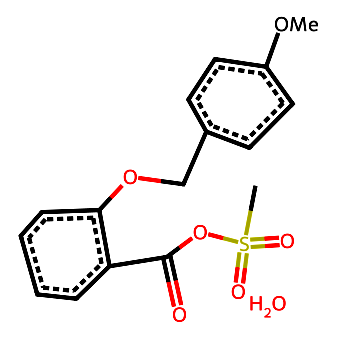 COc1ccc(COc2ccccc2C(=O)OS(C)(=O)=O)cc1.O